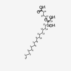 CCCCCCCCCCCCCCCCC(O)[C@H](CO)OCCCC(=O)O